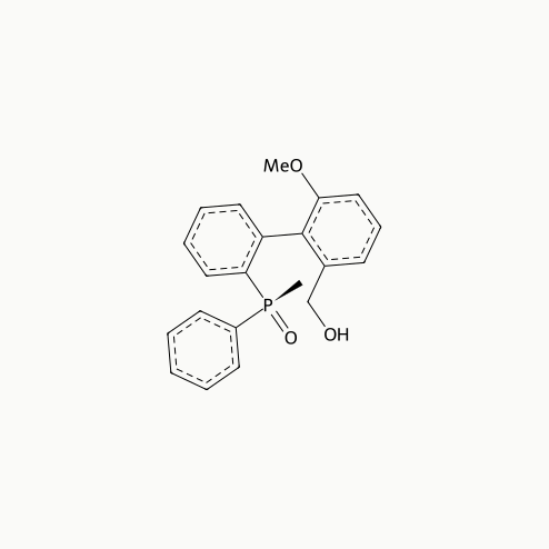 COc1cccc(CO)c1-c1ccccc1[P@](C)(=O)c1ccccc1